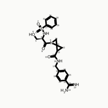 C=S(=O)(N[C@H](CO)C(=O)N1CC12CC2C(=O)NCc1ccc(C(=N)N)cc1)c1ccccc1